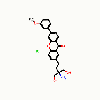 Cl.NC(CO)(CO)CCc1ccc2oc3cc(-c4cccc(OC(F)(F)F)c4)ccc3c(=O)c2c1